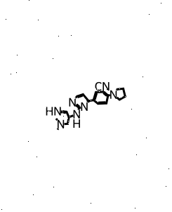 CN(C)CC(C=N)Nc1nccc(-c2ccc(N3CCCC3)c(C#N)c2)n1